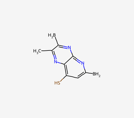 Bc1cc(S)c2nc(C)c(B)nc2n1